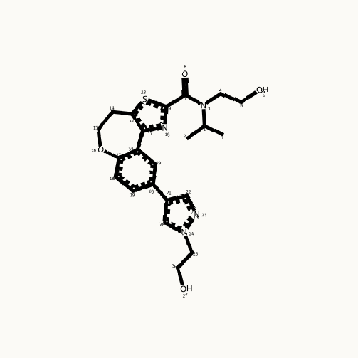 CC(C)N(CCO)C(=O)c1nc2c(s1)CCOc1ccc(-c3cnn(CCO)c3)cc1-2